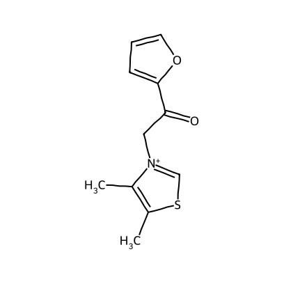 Cc1sc[n+](CC(=O)c2ccco2)c1C